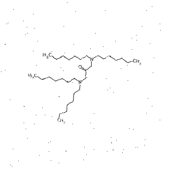 CCCCCCCN(CCCCCCC)CC(=O)CN(CCCCCCC)CCCCCCC